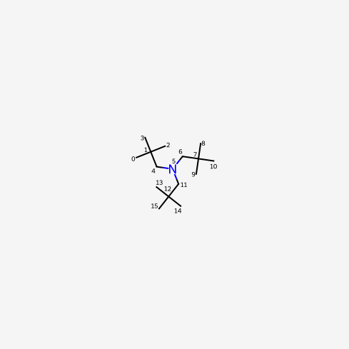 CC(C)(C)CN(CC(C)(C)C)CC(C)(C)C